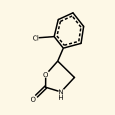 O=C1NCC(c2ccccc2Cl)O1